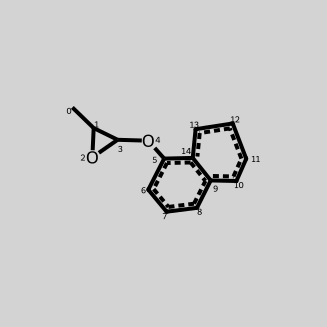 CC1OC1Oc1cccc2ccccc12